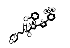 CS(=O)(=O)c1cccc(-c2ccc(-c3cc(C(=O)NCCN4CCOCC4)nn3-c3ccccc3Cl)s2)c1